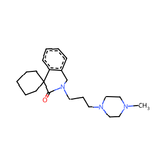 CN1CCN(CCCN2Cc3ccccc3C3(CCCCC3)C2=O)CC1